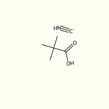 CC(C)(C)C(=O)O.[C-]#[NH+]